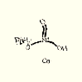 O=[N+]([O-])O.[Co].[PbH2]